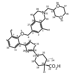 Cc1cc(COc2c(C)cccc2-c2csc(N3CC[C@](C)(C(=O)O)[C@@H](C)C3)n2)cc2c1CN(CC1COCCO1)CC2